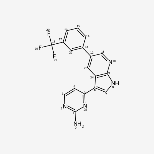 Nc1nccc(-c2c[nH]c3ncc(-c4cccc(C(F)(F)F)c4)cc23)n1